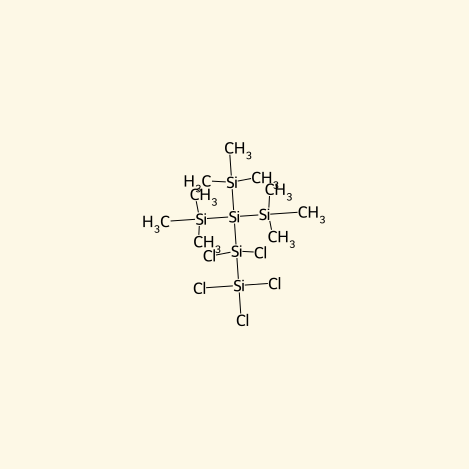 C[Si](C)(C)[Si]([Si](C)(C)C)([Si](C)(C)C)[Si](Cl)(Cl)[Si](Cl)(Cl)Cl